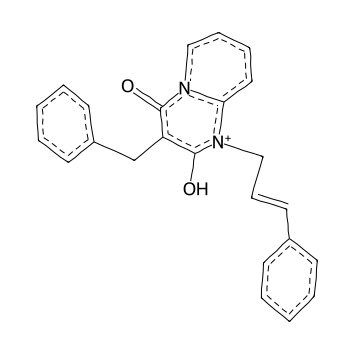 O=c1c(Cc2ccccc2)c(O)[n+](CC=Cc2ccccc2)c2ccccn12